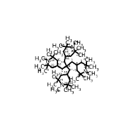 CN1C(C)(C)CC(CC(CC2CC(C)(C)N(C)C(C)(C)C2)(CC2CC(C)(C)N(C)C(C)(C)C2)CC2CC(C)(C)N(C)C(C)(C)C2)CC1(C)C